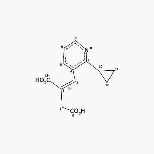 O=C(O)C/C(=C/c1cccnc1C1CC1)C(=O)O